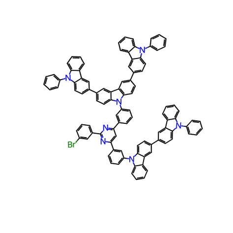 Brc1cccc(-c2nc(-c3cccc(-n4c5ccccc5c5cc(-c6ccc7c(c6)c6ccccc6n7-c6ccccc6)ccc54)c3)cc(-c3cccc(-n4c5ccc(-c6ccc7c(c6)c6ccccc6n7-c6ccccc6)cc5c5cc(-c6ccc7c(c6)c6ccccc6n7-c6ccccc6)ccc54)c3)n2)c1